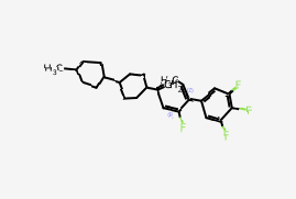 C=C(/C=C(F)\C(=C/C)c1cc(F)c(F)c(F)c1)C1CCC(C2CCC(C)CC2)CC1